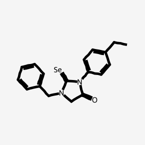 CCc1ccc(N2C(=O)CN(Cc3ccccc3)C2=[Se])cc1